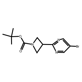 CC(C)(C)OC(=O)N1CC(c2ncc(Br)cn2)C1